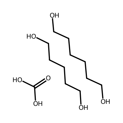 O=C(O)O.OCCCCCCO.OCCCCCO